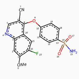 COc1cc2ncc(C#N)c(Oc3ccc(S(N)(=O)=O)cc3)c2cc1F